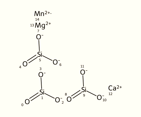 O=[Si]([O-])[O-].O=[Si]([O-])[O-].O=[Si]([O-])[O-].[Ca+2].[Mg+2].[Mn+2]